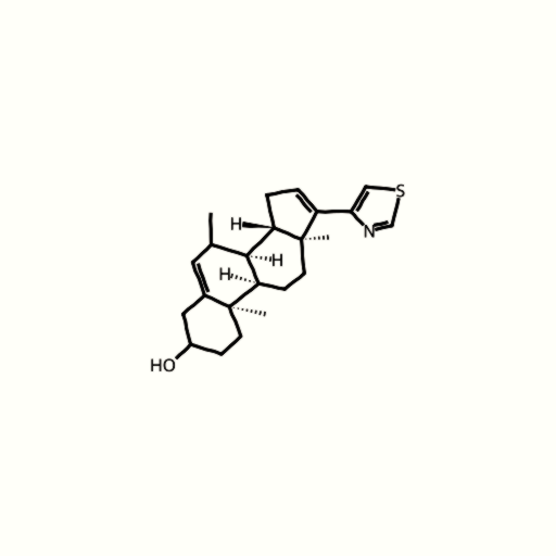 CC1C=C2CC(O)CC[C@]2(C)[C@@H]2CC[C@]3(C)C(c4cscn4)=CC[C@H]3[C@H]12